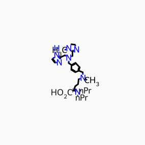 CCCN(CCC)[C@H](CCCN(C)Cc1ccc(CN(CC2=NCCN2C)Cc2ncc[nH]2)cc1)C(=O)O